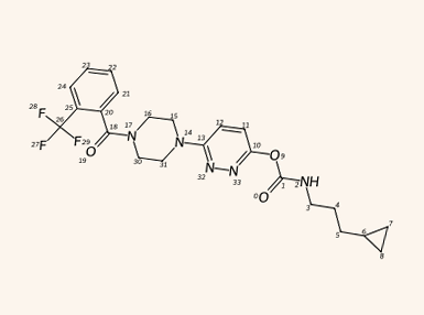 O=C(NCCCC1CC1)Oc1ccc(N2CCN(C(=O)c3ccccc3C(F)(F)F)CC2)nn1